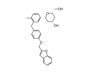 Cc1ccc([C@H]2C[C@@H](O)C[C@@H](CO)O2)cc1Cc1ccc(OCc2cc3ccccc3o2)cc1